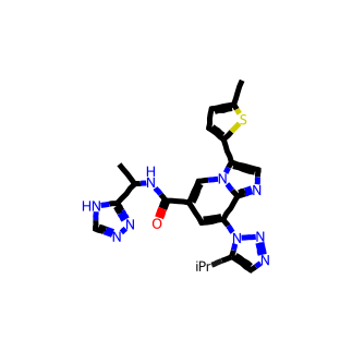 Cc1ccc(-c2cnc3c(-n4nncc4C(C)C)cc(C(=O)NC(C)c4nnc[nH]4)cn23)s1